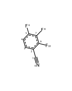 N#Cc1[c]cc(F)c(F)c1F